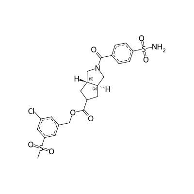 CS(=O)(=O)c1cc(Cl)cc(COC(=O)C2C[C@@H]3CN(C(=O)c4ccc(S(N)(=O)=O)cc4)C[C@H]3C2)c1